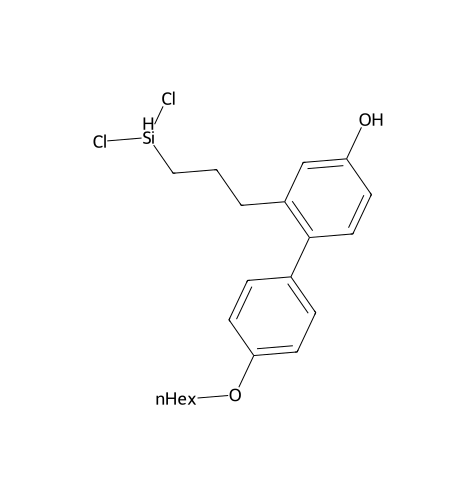 CCCCCCOc1ccc(-c2ccc(O)cc2CCC[SiH](Cl)Cl)cc1